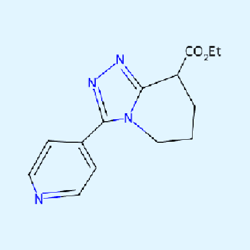 CCOC(=O)C1CCCn2c(-c3ccncc3)nnc21